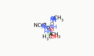 Cn1nnc(C2CCC(Nc3cc(-c4ccc5cc(C#N)cnn45)ncc3C(=O)NC[C@@H](F)C(C)(C)O)CC2)n1